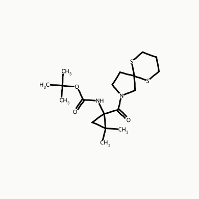 CC(C)(C)OC(=O)NC1(C(=O)N2CCC3(C2)SCCCS3)CC1(C)C